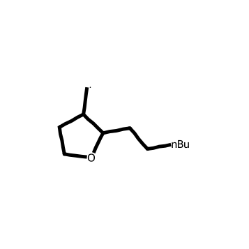 [CH2]C1CCOC1CCCCCC